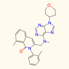 Cc1ccccc1-n1c(CN(C)c2ncnc3c2ncn3C2CCOCC2)cc2cccc(C)c2c1=O